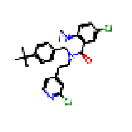 CNc1ccc(Cl)cc1C(=O)N(CCc1ccnc(Cl)c1)Cc1ccc(C(C)(C)C)cc1